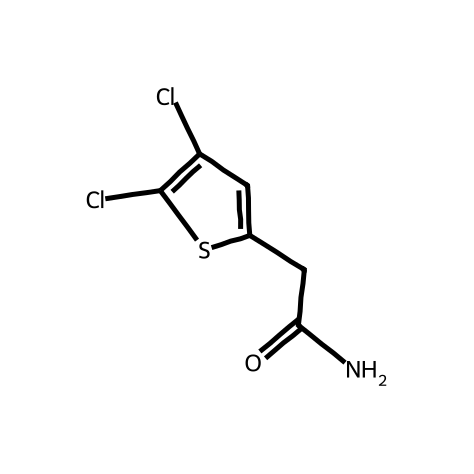 NC(=O)Cc1cc(Cl)c(Cl)s1